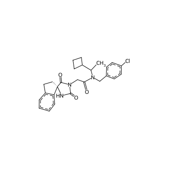 CC(C1CCC1)N(Cc1ccc(Cl)cc1)C(=O)CN1C(=O)N[C@]2(CCc3ccccc32)C1=O